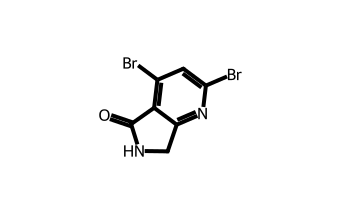 O=C1NCc2nc(Br)cc(Br)c21